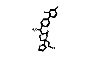 CC(c1ccc(-c2ccc(F)cc2F)cc1)N1CCC(CCO)(c2cccs2)OC1=O